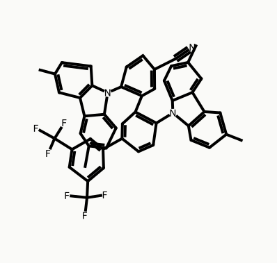 Cc1ccc2c(c1)c1cc(C)ccc1n2-c1ccc(C#N)cc1-c1cc(-c2cc(C(F)(F)F)cc(C(F)(F)F)c2)ccc1-n1c2ccc(C)cc2c2cc(C)ccc21